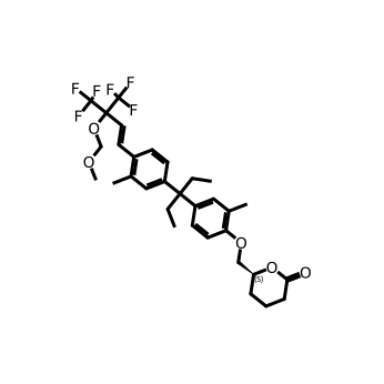 CCC(CC)(c1ccc(C=CC(OCOC)(C(F)(F)F)C(F)(F)F)c(C)c1)c1ccc(OC[C@@H]2CCCC(=O)O2)c(C)c1